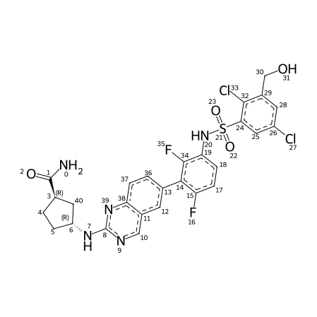 NC(=O)[C@@H]1CC[C@@H](Nc2ncc3cc(-c4c(F)ccc(NS(=O)(=O)c5cc(Cl)cc(CO)c5Cl)c4F)ccc3n2)C1